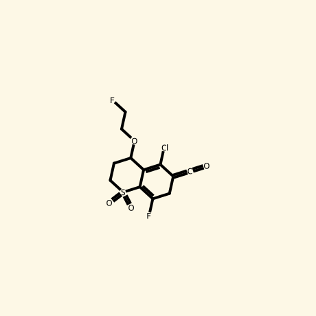 O=C=C1CC(F)=C2C(=C1Cl)C(OCCF)CCS2(=O)=O